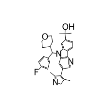 CC1=NCC(C)=C1c1cnc2c3ccc(C(C)(C)O)cc3n(C(c3ccc(F)cc3)C3CCOCC3)c2c1